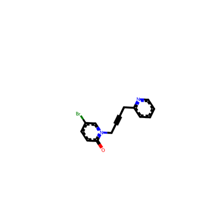 O=c1ccc(Br)cn1CC#CCc1ccccn1